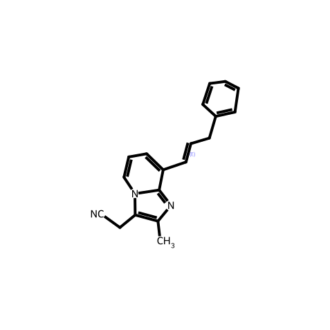 Cc1nc2c(/C=C/Cc3ccccc3)cccn2c1CC#N